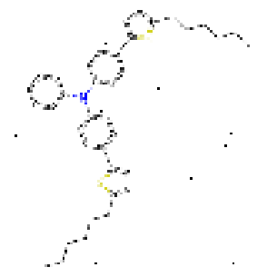 CCCCCCc1ccc(-c2ccc(N(c3ccccc3)c3ccc(-c4ccc(CCCCCC)s4)cc3)cc2)s1